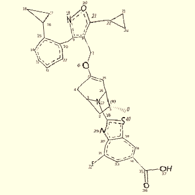 C[C@@H]1CC2CC(OCc3c(-c4ccccc4C4CC4)noc3C3CC3)=CC1N2c1nc2c(F)cc(C(=O)O)cc2s1